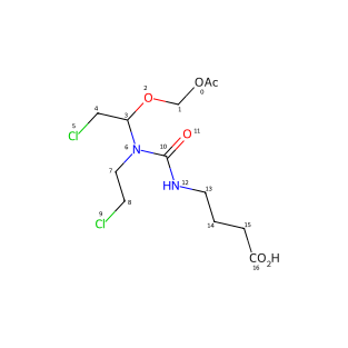 CC(=O)OCOC(CCl)N(CCCl)C(=O)NCCCC(=O)O